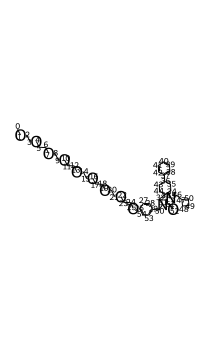 COCCOCCOCCOCCOCCOCCOCCOCCOc1ccc(CN2CC3(CCC(c4ccccc4)CC3)N(CC3CCC3)C2=O)cc1